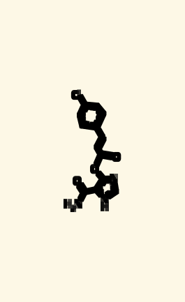 NC(=O)c1[nH]cnc1OC(=O)/C=C/c1ccc(Cl)cc1